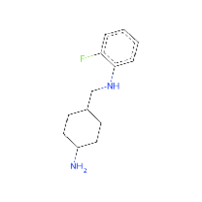 NC1CCC(CNc2ccccc2F)CC1